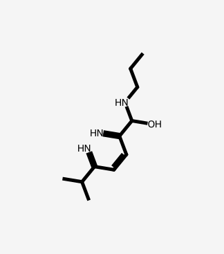 CCCNC(O)C(=N)/C=C\C(=N)C(C)C